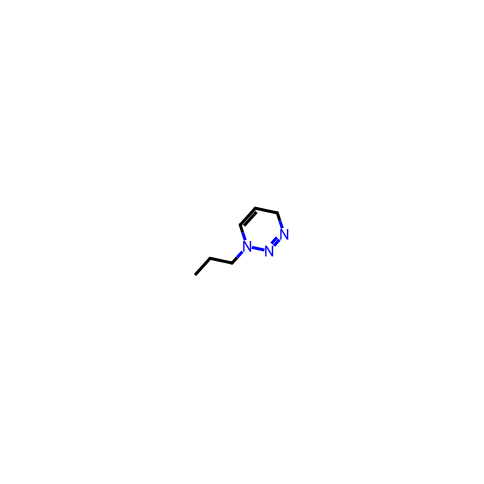 CCCN1C=CCN=N1